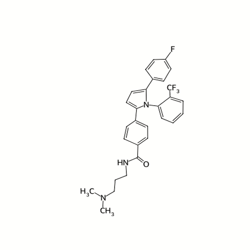 CN(C)CCCNC(=O)c1ccc(-c2ccc(-c3ccc(F)cc3)n2-c2ccccc2C(F)(F)F)cc1